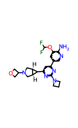 Nc1ncc(-c2cc(C3[C@H]4CN(C5COC5)C[C@@H]34)nc(N3CCC3)n2)cc1OC(F)F